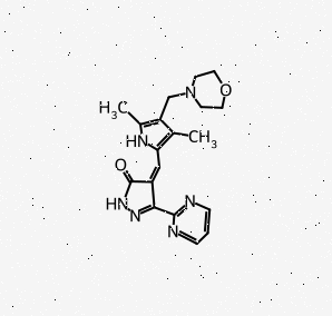 Cc1[nH]c(C=C2C(=O)NN=C2c2ncccn2)c(C)c1CN1CCOCC1